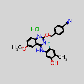 COc1ccc2nc(OCc3ccc(C#N)cc3)nc(Nc3cc(O)c(C)cc3F)c2c1.Cl